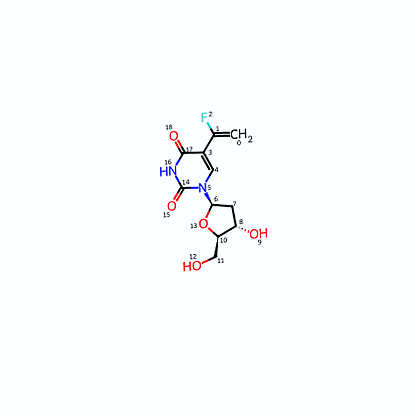 C=C(F)c1cn([C@H]2C[C@H](O)[C@@H](CO)O2)c(=O)[nH]c1=O